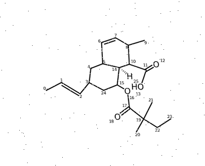 CC=CC1CC2C=CC(C)C(C(=O)O)[C@H]2C(OC(=O)C(C)(C)CC)C1